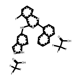 Fc1cccc2nc(-c3cccc4ccccc34)nc(Nc3ccc4[nH]ncc4c3)c12.O=C(O)C(F)(F)F.O=C(O)C(F)(F)F